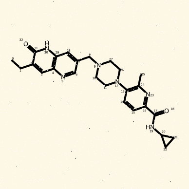 CCc1cc2ncc(CN3CCN(c4ccc(C(=O)NC5CC5)nc4C)CC3)cc2[nH]c1=O